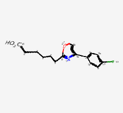 O=C(O)CCCCCc1nc(-c2ccc(F)cc2)co1